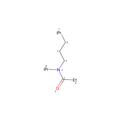 CCC(=O)N(CCCC(C)C)C(C)C